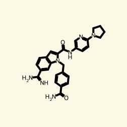 N=C(N)c1ccc2cc(C(=O)Nc3ccc(N4CCCC4)nc3)n(Cc3ccc(C(N)=O)cc3)c2c1